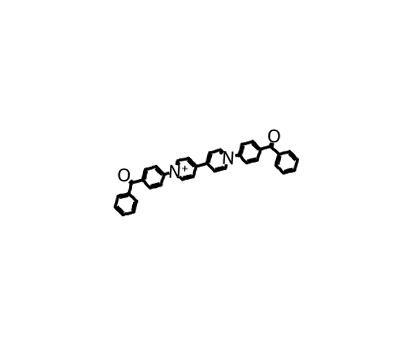 O=C(c1ccccc1)c1ccc(-[n+]2ccc(-c3cc[n+](-c4ccc(C(=O)c5ccccc5)cc4)cc3)cc2)cc1